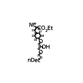 CCCCCCCCCCCCOCC(O)COc1ccc(C=C(C#N)C(=O)OCC)cc1